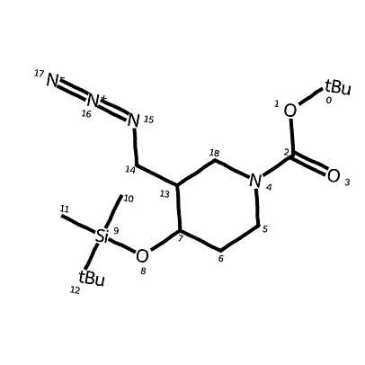 CC(C)(C)OC(=O)N1CCC(O[Si](C)(C)C(C)(C)C)C(CN=[N+]=[N-])C1